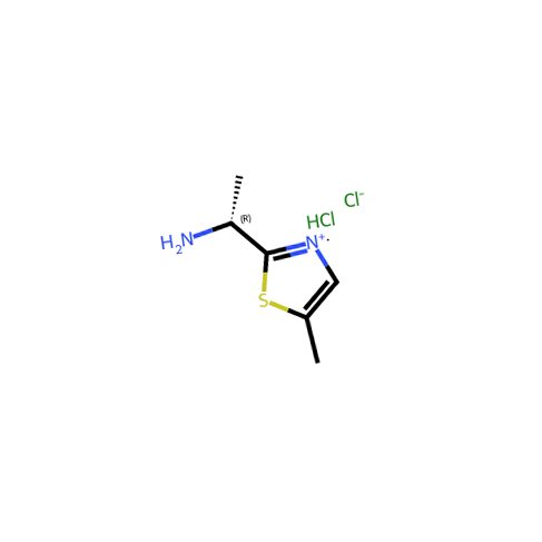 CC1=C[N+]=C([C@@H](C)N)S1.Cl.[Cl-]